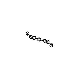 c1cc(-c2ccc(-c3ccc(OCC4CO4)cc3)cc2)ccc1OCC1CO1